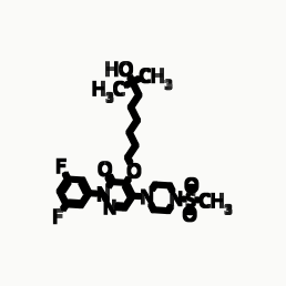 CC(C)(O)CCCCCCOc1c(N2CCN(S(C)(=O)=O)CC2)cnn(-c2cc(F)cc(F)c2)c1=O